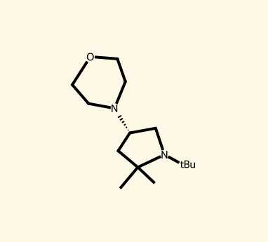 CC(C)(C)N1C[C@@H](N2CCOCC2)CC1(C)C